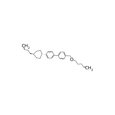 C=CCCCOCc1ccc(-c2ccc([C@H]3CC[C@H](CCC=C)CC3)cc2)cc1